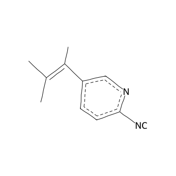 [C-]#[N+]c1ccc(C(C)=C(C)C)cn1